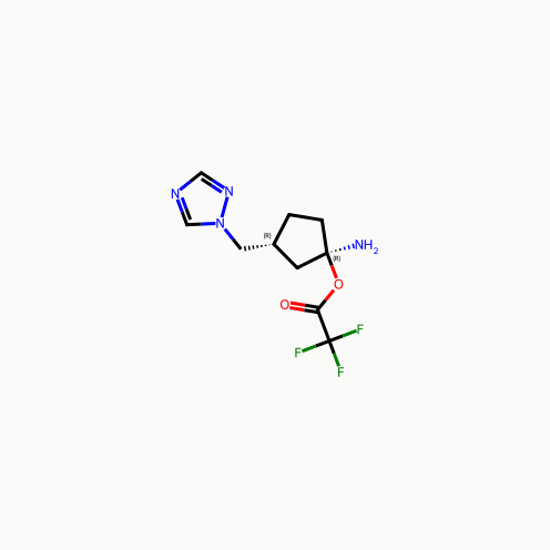 N[C@@]1(OC(=O)C(F)(F)F)CC[C@@H](Cn2cncn2)C1